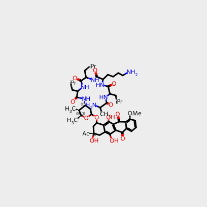 COc1cccc2c1C(=O)c1c(O)c3c(c(O)c1C2=O)C[C@@](O)(C(C)=O)CC3OC1C[C@H](NC(=O)C(CC(C)C)NC(=O)C(CC(C)C)NC(=O)C(CCCCN)NC(=O)C(CC(C)C)NC(=O)C(C)N)[C@H](C)[C@H](C)O1